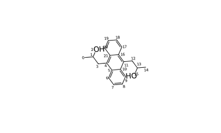 CC(O)Cc1c2ccccc2c(CC(C)O)c2ccccc12